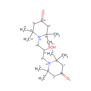 CC1(C)CC(=O)CC(C)(C)N1CC(O)CN1C(C)(C)CC(=O)CC1(C)C